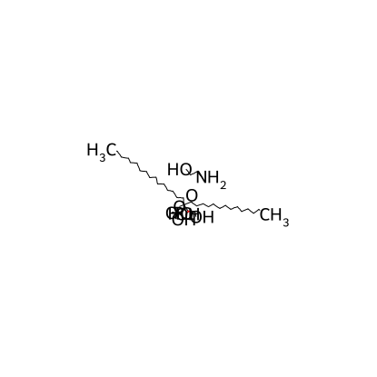 CCCCCCCCCCCCCCCCC(OP(=O)(O)O)(C(=O)CCCCCCCCCCCCC)C(O)CO.NCCO